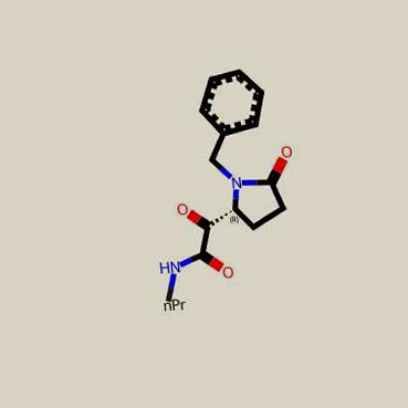 CCCNC(=O)C(=O)[C@H]1CCC(=O)N1Cc1ccccc1